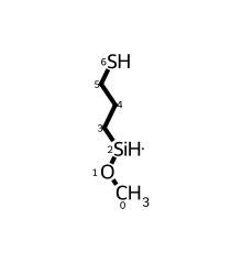 CO[SiH]CCCS